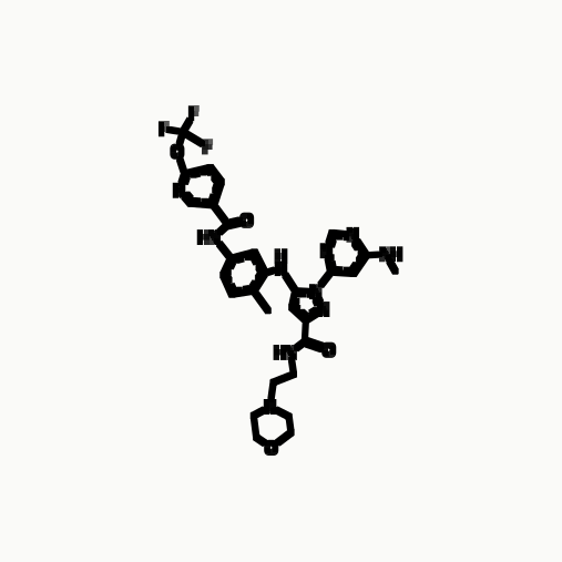 CNc1cc(-n2nc(C(=O)NCCN3CCOCC3)cc2Nc2cc(NC(=O)c3ccc(OC(F)(F)F)nc3)ccc2C)ncn1